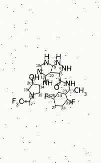 C[C@@H](NC(=O)C1NNC2NC=NC(N[C@@H]3CN(CC(F)(F)F)C[C@H]3O)C21)C1CC(F)CCC1F